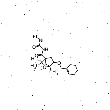 CCNC(=O)NC(=O)C12CC(OCC3=CCCCC3)C(C)(C1)OC2(C)C